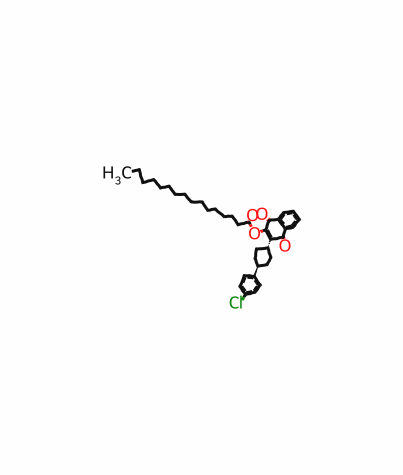 CCCCCCCCCCCCCCCC(=O)OC1=C([C@H]2CC[C@H](c3ccc(Cl)cc3)CC2)C(=O)c2ccccc2C1=O